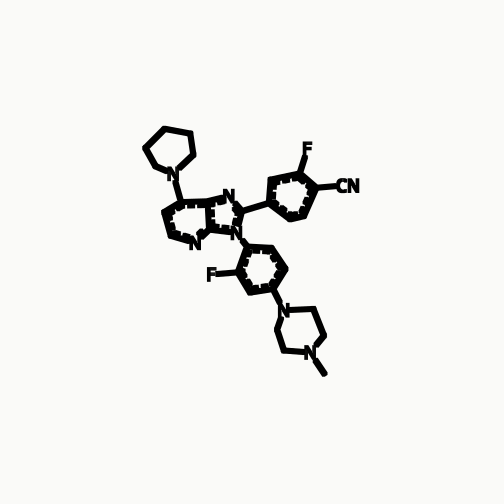 CN1CCN(c2ccc(-n3c(-c4ccc(C#N)c(F)c4)nc4c(N5CCCCC5)ccnc43)c(F)c2)CC1